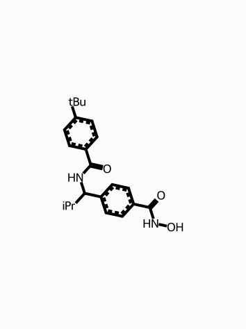 CC(C)C(NC(=O)c1ccc(C(C)(C)C)cc1)c1ccc(C(=O)NO)cc1